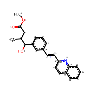 COC(=O)CC(C)C(O)c1cccc(/C=C/c2ccc3ccccc3n2)c1